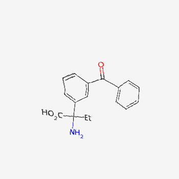 CCC(N)(C(=O)O)c1cccc(C(=O)c2ccccc2)c1